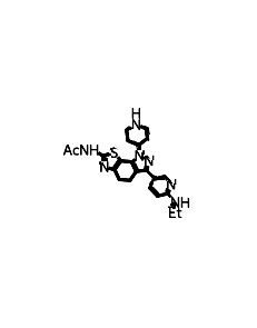 CCNc1ccc(-c2nn(C3CCNCC3)c3c2CCc2nc(NC(C)=O)sc2-3)cn1